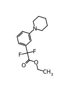 CCOC(=O)C(F)(F)c1cccc(N2CCCCC2)c1